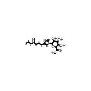 CCCNCCCc1cn(C2OC(C(=O)O)C(O)C(O)C2O)nn1